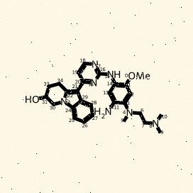 COc1cc(N(C)CCN(C)C)c(N)cc1Nc1nccc(-c2c3n(c4ccccc24)CC(O)CC3)n1